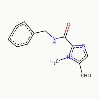 Cn1c(C=O)cnc1C(=O)NCc1ccccc1